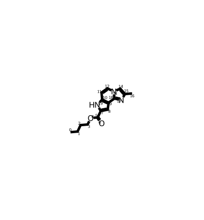 CCCCOC(=O)c1cc2c(ccn3cc(C)nc23)[nH]1